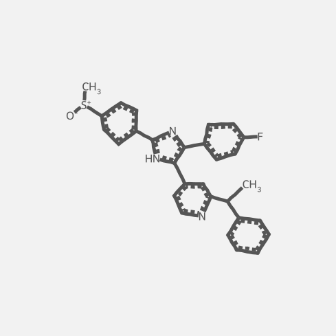 CC(c1ccccc1)c1cc(-c2[nH]c(-c3ccc([S+](C)[O-])cc3)nc2-c2ccc(F)cc2)ccn1